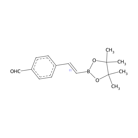 CC1(C)OB(/C=C/c2ccc(C=O)cc2)OC1(C)C